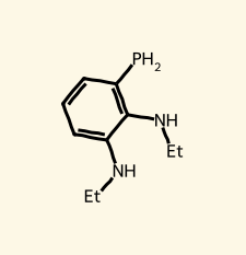 CCNc1cccc(P)c1NCC